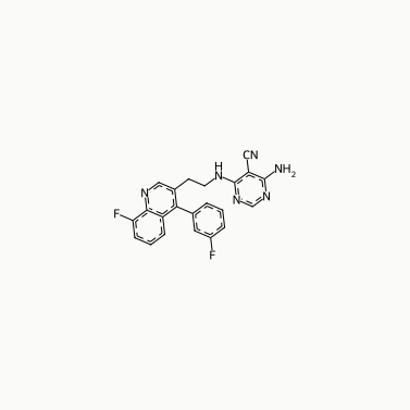 N#Cc1c(N)ncnc1NCCc1cnc2c(F)cccc2c1-c1cccc(F)c1